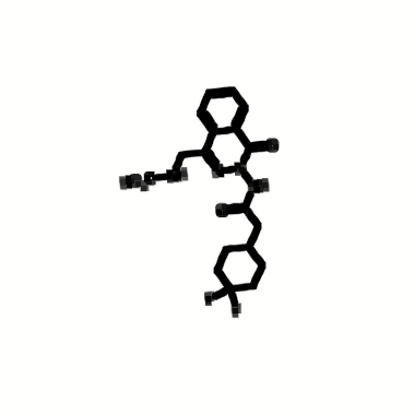 O=C(O)NCc1nn(NC(=O)CC2CCC(F)(F)CC2)c(=O)c2ccccc12